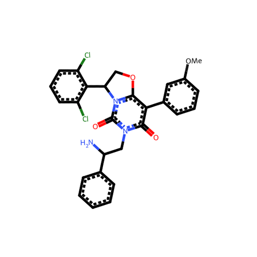 COc1cccc(-c2c3n(c(=O)n(CC(N)c4ccccc4)c2=O)C(c2c(Cl)cccc2Cl)CO3)c1